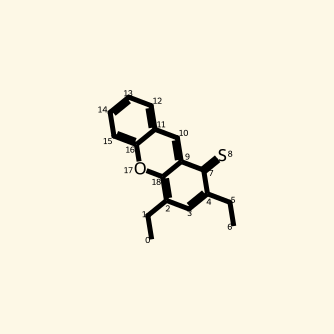 CCc1cc(CC)c(=S)c2cc3ccccc3oc1-2